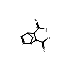 O=C(Cl)C1C2C=CC(C2)C1C(=O)Cl